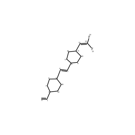 C=CC1CCC(C=CC2CCC(C=C(F)F)CC2)CC1